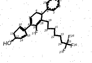 Oc1ccc(C2CC=C(C3=CCC(O)C=C3)C(F)=C2CCCCCCC(F)(F)F)cc1